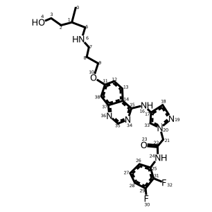 CC(CCO)CNCCCOc1ccc2c(Nc3cnn(CC(=O)Nc4cccc(F)c4F)c3)ncnc2c1